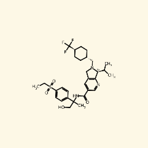 CCS(=O)(=O)c1ccc(C(C)(CO)NC(=O)c2cnc3c(c2)CN(C[C@H]2CC[C@H](C(F)(F)F)CC2)[C@H]3C(C)C)cc1